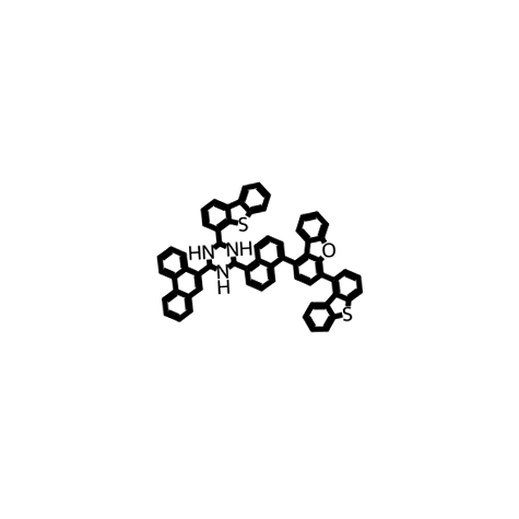 c1ccc2c(c1)cc(C1NC(c3cccc4c(-c5ccc(-c6cccc7sc8ccccc8c67)c6oc7ccccc7c56)cccc34)NC(c3cccc4c3sc3ccccc34)N1)c1ccccc12